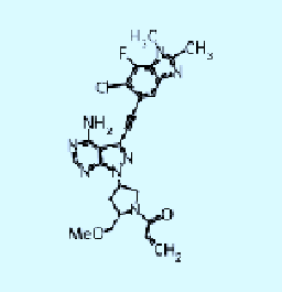 C=CC(=O)N1C[C@@H](n2nc(C#Cc3cc4nc(C)n(C)c4c(F)c3Cl)c3c(N)ncnc32)C[C@@H]1COC